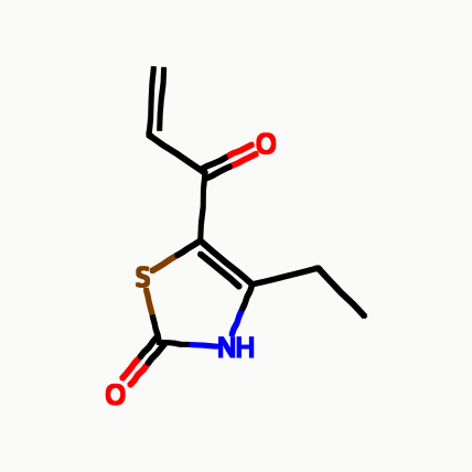 C=CC(=O)c1sc(=O)[nH]c1CC